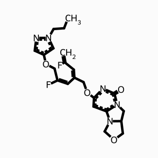 C=C(F)/C=C(\C=C(\F)COc1cnn(CCC)c1)COc1cc2n(c(=O)n1)CC1COCN21